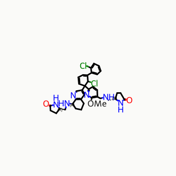 COc1nc(C2(c3cnc4c(c3)CCC[C@H]4NC[C@H]3CCC(=O)N3)C=CC=C(c3ccccc3Cl)C2Cl)ccc1CNC[C@@H]1CCC(=O)N1